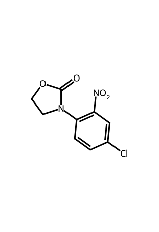 O=C1OCCN1c1ccc(Cl)cc1[N+](=O)[O-]